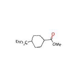 CCOC(=O)C1CCC(C(=O)OC)CC1